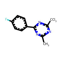 Cc1nc(-c2ccc(F)cc2)nc(C(Cl)(Cl)Cl)n1